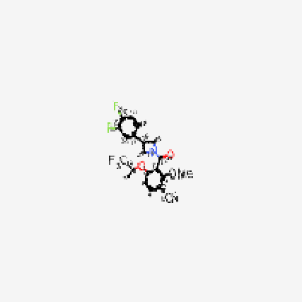 COc1c(C#N)ccc(O[C@@H](C)C(F)(F)F)c1C(=O)N1CC(c2ccc(F)c(F)c2)C1